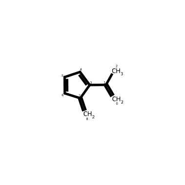 C=C(C)C1=CC=CC1=C